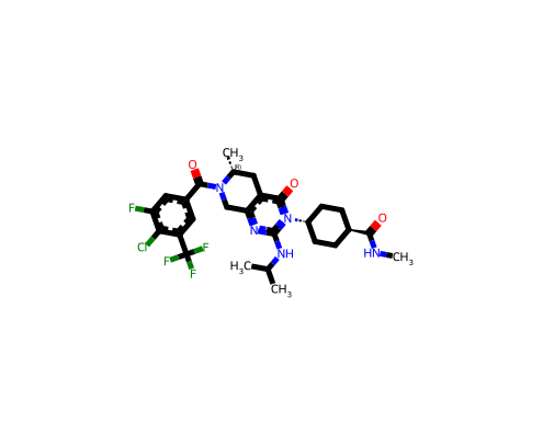 CNC(=O)[C@H]1CC[C@H](n2c(NC(C)C)nc3c(c2=O)C[C@@H](C)N(C(=O)c2cc(F)c(Cl)c(C(F)(F)F)c2)C3)CC1